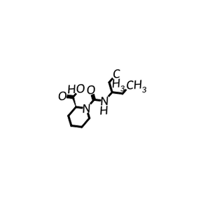 CCC(CC)NC(=O)N1CCCC[C@H]1C(=O)O